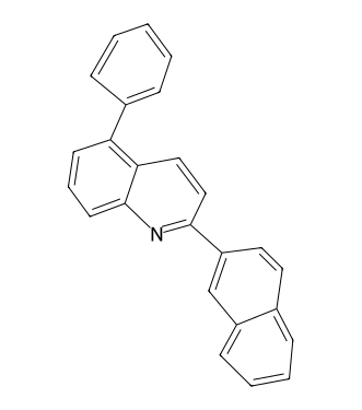 c1ccc(-c2cccc3nc(-c4ccc5ccccc5c4)ccc23)cc1